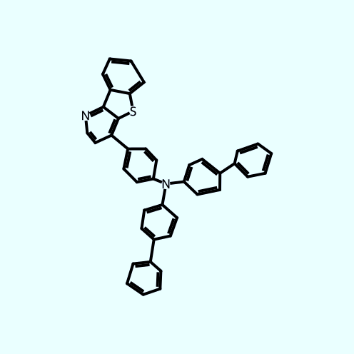 c1ccc(-c2ccc(N(c3ccc(-c4ccccc4)cc3)c3ccc(-c4ccnc5c4sc4ccccc45)cc3)cc2)cc1